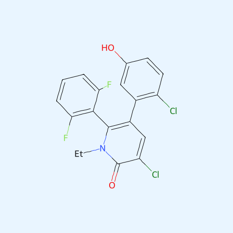 CCn1c(-c2c(F)cccc2F)c(-c2cc(O)ccc2Cl)cc(Cl)c1=O